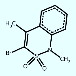 CC1=C(Br)S(=O)(=O)N(C)c2ccccc21